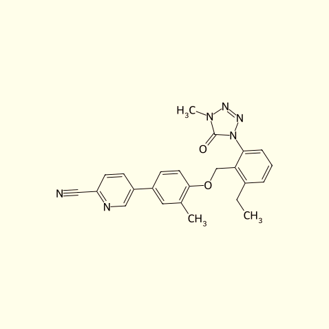 CCc1cccc(-n2nnn(C)c2=O)c1COc1ccc(-c2ccc(C#N)nc2)cc1C